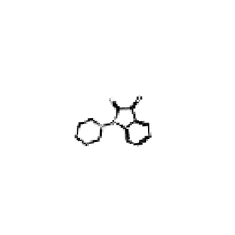 O=C1C(=O)N(N2CCCCC2)c2ccccc21